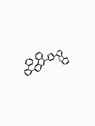 c1ccc(-c2ccccc2-c2ccc3cc(-c4ccc(-c5cccc6c5sc5ccccc56)cc4)c4ccccc4c3c2)cc1